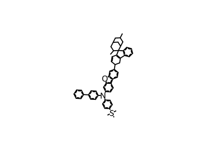 CC1CC2CC(C)C3(C4=C(CC(c5ccc6c(c5)oc5cc(N(c7ccc(-c8ccccc8)cc7)c7ccc(S(C)(C)C)cc7)ccc56)C=C4)c4ccccc43)C(C1)C2